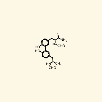 CC(Cc1ccc(O)c(-c2cc(CC(NC=O)C(N)=O)ccc2O)c1)NC=O